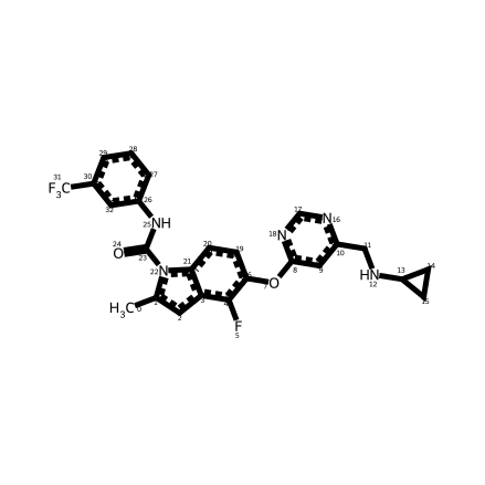 Cc1cc2c(F)c(Oc3cc(CNC4CC4)ncn3)ccc2n1C(=O)Nc1cccc(C(F)(F)F)c1